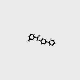 O=C(Nc1ccc(-c2ccccn2)nc1)c1cccc(Cl)c1